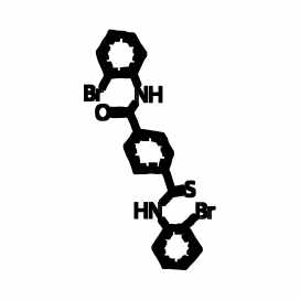 O=C(Nc1ccccc1Br)c1ccc(C(=S)Nc2ccccc2Br)cc1